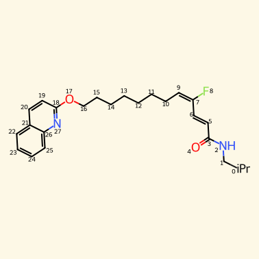 CC(C)CNC(=O)/C=C/C(F)=C\CCCCCCCOc1ccc2ccccc2n1